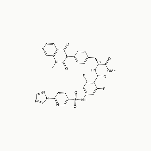 COC(=O)[C@H](Cc1ccc(-n2c(=O)c3ccncc3n(C)c2=O)cc1)NC(=O)c1c(F)cc(NS(=O)(=O)c2ccc(-n3cncn3)nc2)cc1F